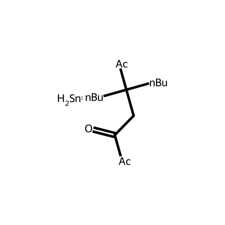 CCCCC(CCCC)(CC(=O)C(C)=O)C(C)=O.[SnH2]